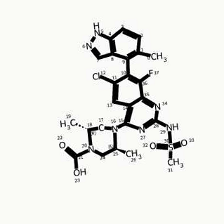 Cc1ccc2[nH]ncc2c1-c1c(Cl)cc2c(N3C[C@@H](C)N(C(=O)O)C[C@@H]3C)nc(NS(C)(=O)=O)nc2c1F